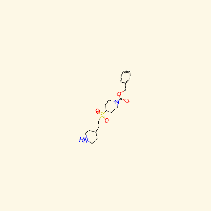 O=C(OCc1ccccc1)N1CCC(S(=O)(=O)CCC2CCNCC2)CC1